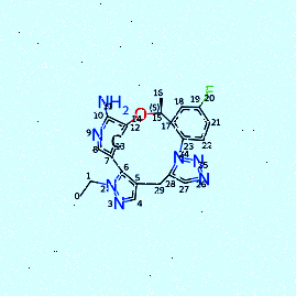 CCn1ncc2c1-c1cnc(N)c(c1)O[C@@H](C)c1cc(F)ccc1-n1nncc1C2